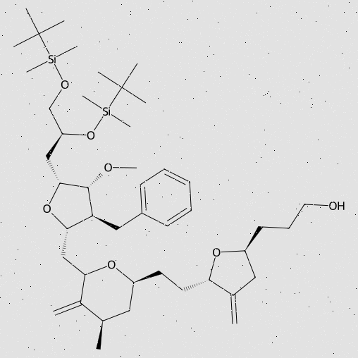 C=C1C(C[C@@H]2O[C@H](C[C@@H](CO[Si](C)(C)C(C)(C)C)O[Si](C)(C)C(C)(C)C)[C@H](OC)[C@H]2Cc2ccccc2)O[C@@H](CC[C@@H]2O[C@@H](CCCO)CC2=C)C[C@H]1C